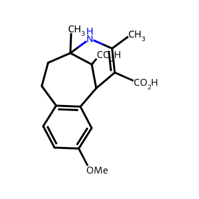 COc1ccc2c(c1)C1C(C(=O)O)=C(C)NC(C)(CC2)C1C(=O)O